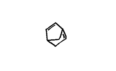 C1=CC2CC=C1C2